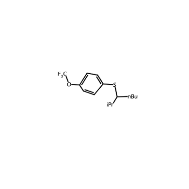 CCCCC(Sc1ccc(OC(F)(F)F)cc1)C(C)C